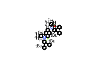 [2H]c1c([2H])c([2H])c(N(c2ccc(-c3ccccc3C(C)(C)C)c(-c3ccccc3C(C)(C)C)c2F)c2ccc3ccc4c(N(c5ccc(-c6ccccc6C(C)(C)C)c(-c6ccccc6C(C)(C)C)c5F)c5c([2H])c([2H])c([2H])c([2H])c5[2H])ccc5ccc2c3c54)c([2H])c1[2H]